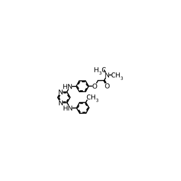 Cc1cccc(Nc2cc(Nc3ccc(OCC(=O)N(C)C)cc3)ncn2)c1